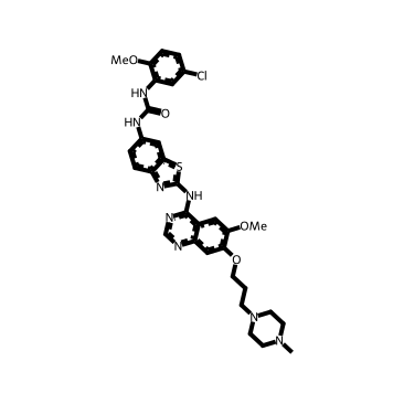 COc1ccc(Cl)cc1NC(=O)Nc1ccc2nc(Nc3ncnc4cc(OCCCN5CCN(C)CC5)c(OC)cc34)sc2c1